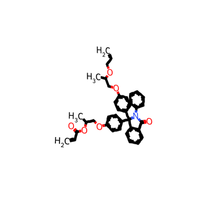 C=CCOC(C)COc1ccc(C2(c3ccc(OCC(C)OC(=O)C=C)cc3)c3ccccc3C(=O)N2c2ccccc2)cc1